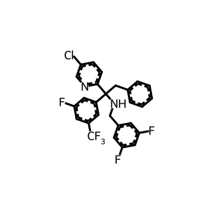 Fc1cc(F)cc(CNC(Cc2ccccc2)(c2cc(F)cc(C(F)(F)F)c2)c2ccc(Cl)cn2)c1